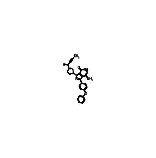 CC#CC(=O)N1CCC(n2nc(-c3ccc(Oc4ccccc4)cc3)c3c(N)n[nH]c(=O)c32)C1